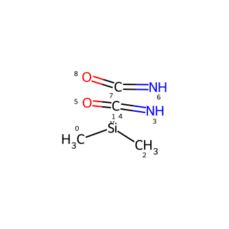 C[Si]C.N=C=O.N=C=O